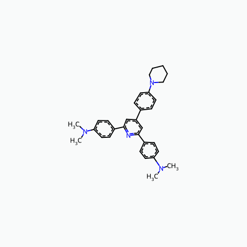 CN(C)c1ccc(-c2cc(-c3ccc(N4CCCCC4)cc3)cc(-c3ccc(N(C)C)cc3)n2)cc1